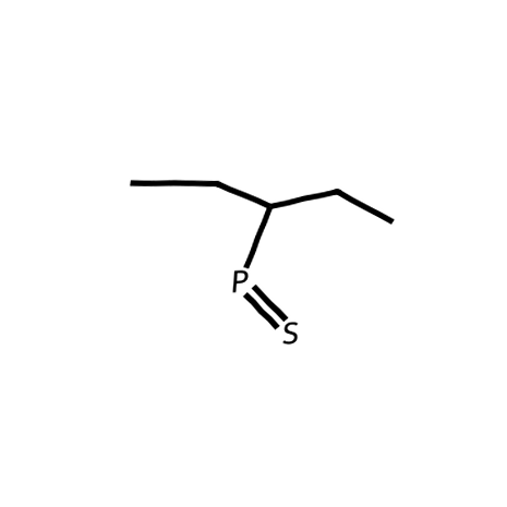 CCC(CC)P=S